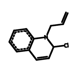 C=CCN1c2ccccc2C=CC1Cl